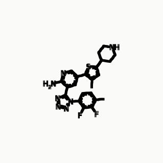 Cc1cc(C2CCNCC2)sc1-c1cnc(N)c(-c2nnnn2-c2ccc(C)c(F)c2F)c1